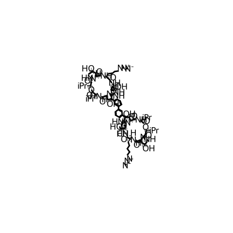 CC(C)[C@@H]1OC(=O)[C@@H](C(C)C)NC(=O)[C@@H]2C[C@@]3(O)c4cc(-c5ccc6c(c5)[C@]5(O)C[C@H]7C(=O)N[C@H](C(C)C)C(=O)O[C@@H](C(C)C)C(=O)N8NC[C@H](O)C[C@@H]8C(=O)N[C@@H](CCCCN=[N+]=[N-])C(=O)N[C@H]8C(=O)N7[C@@]5(N6)N[C@@H]8O)ccc4N[C@H]3N2C(=O)[C@@H]([C@H](C)O)NC(=O)[C@H](CCCCCN=[N+]=[N-])NC(=O)[C@H]2C[C@@H](O)CNN2C1=O